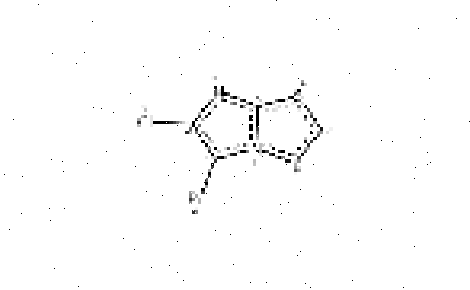 CC(C)c1c(Cl)nc2sccn12